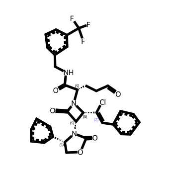 O=CCC[C@@H](C(=O)NCc1cccc(C(F)(F)F)c1)N1C(=O)[C@@H](N2C(=O)OC[C@@H]2c2ccccc2)[C@H]1/C(Cl)=C/c1ccccc1